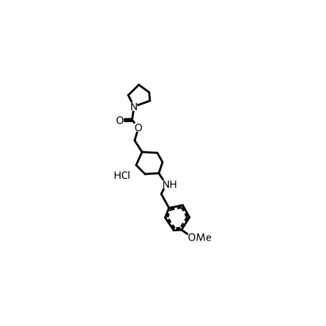 COc1ccc(CNC2CCC(COC(=O)N3CCCC3)CC2)cc1.Cl